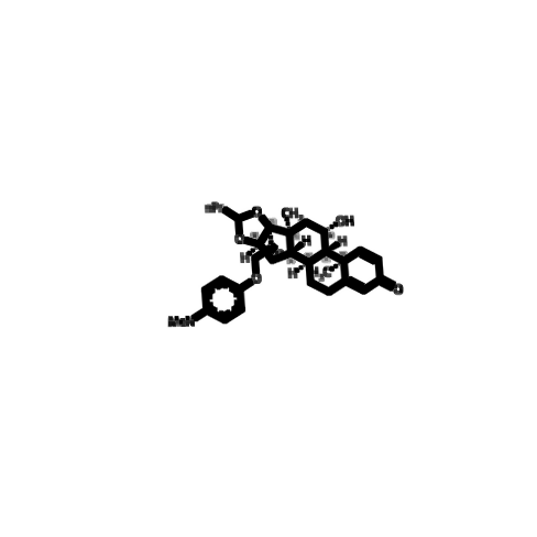 CCCC1O[C@@H]2C[C@H]3[C@@H]4CCC5=CC(=O)C=C[C@]5(C)[C@H]4[C@@H](O)C[C@]3(C)[C@]2(C(=O)COc2ccc(NC)cc2)O1